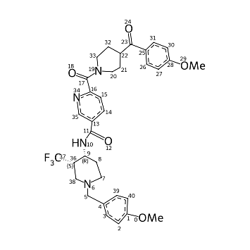 COc1ccc(CN2CC[C@@H](NC(=O)c3ccc(C(=O)N4CCC(C(=O)c5ccc(OC)cc5)CC4)nc3)[C@@H](C(F)(F)F)C2)cc1